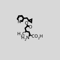 CC(CC(=O)OC1(Cc2cccnc2)CC1)C[C@H](N)C(=O)O